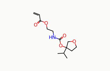 C=CC(=O)OCCNC(=O)OC1(C(C)C)CCOC1